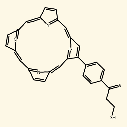 S=C(CCS)c1ccc(C2=CC3=CC4=NC(=CC5=NC(=CC6=NC(=CC2=N3)C=C6)C=C5)C=C4)cc1